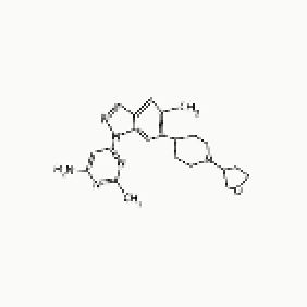 Cc1nc(N)cc(-n2ncc3cc(C)c(C4CCN(C5CCOC5)CC4)cc32)n1